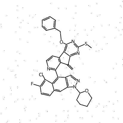 C=C1c2nc(SC)nc(OCc3ccccc3)c2-c2ccnc(-c3c4cnn(C5CCCCO5)c4cc4ccc(F)c(Cl)c34)c21